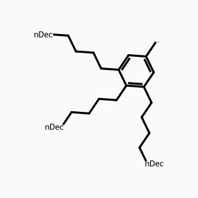 [CH2]c1cc(CCCCCCCCCCCCCC)c(CCCCCCCCCCCCCC)c(CCCCCCCCCCCCCC)c1